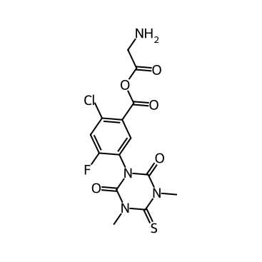 Cn1c(=S)n(C)c(=O)n(-c2cc(C(=O)OC(=O)CN)c(Cl)cc2F)c1=O